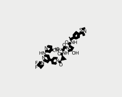 Cc1ncsc1-c1ccc([C@H](C)NC(=O)[C@@H]2C[C@@H](O)CN2C(=O)[C@@H](NC(=O)[C@@H]2C[C@@H]2C(=O)N2CCC(c3cc(Nc4cc(C#N)ccn4)nc(N4CCC(F)(F)C4)c3)CC2)C(C)(C)C)cc1